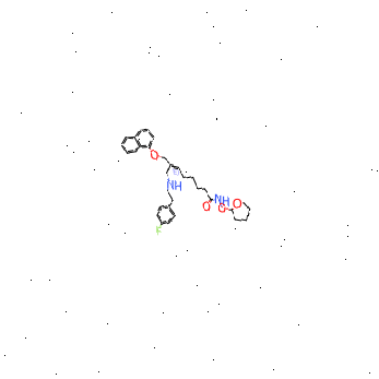 O=C(CCCC/C=C(\CNCCc1ccc(F)cc1)COc1cccc2ccccc12)NOC1CCCCO1